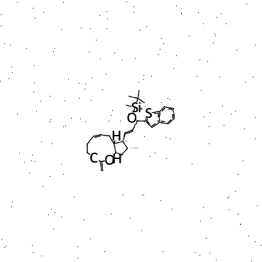 C=C1CCC/C=C\C[C@@H]2[C@@H](/C=C/[C@@H](O[Si](C)(C)C(C)(C)C)c3cc4ccccc4s3)[C@H](C)C[C@@H]2O1